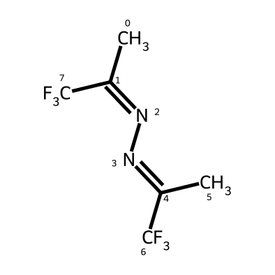 C/C(=N/N=C(\C)C(F)(F)F)C(F)(F)F